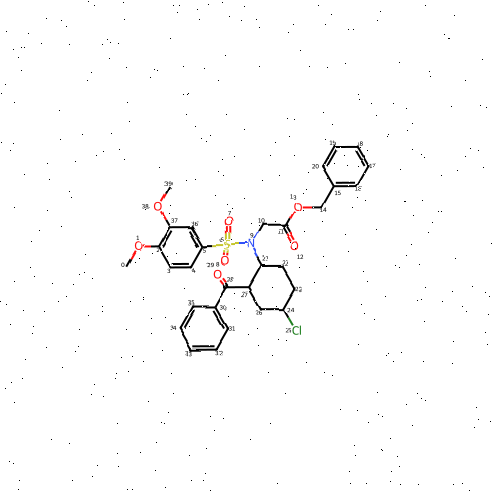 COc1ccc(S(=O)(=O)N(CC(=O)OCc2ccccc2)C2CCC(Cl)CC2C(=O)c2ccccc2)cc1OC